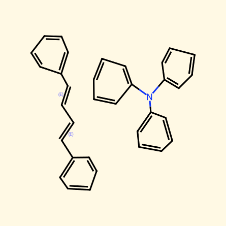 C(/C=C/c1ccccc1)=C\c1ccccc1.c1ccc(N(c2ccccc2)c2ccccc2)cc1